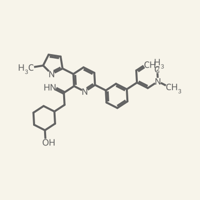 C=C/C(=C\N(C)C)c1cccc(-c2ccc(C3=NC(C)C=C3)c(C(=N)CC3CCCC(O)C3)n2)c1